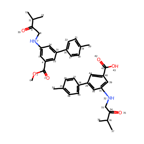 COC(=O)c1cc(NCC(=O)C(C)C)cc(-c2ccc(C)cc2)c1.Cc1ccc(-c2cc(NCC(=O)C(C)C)cc(C(=O)O)c2)cc1